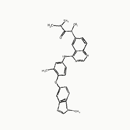 Cc1cc(Nc2ncnc3ccc(N(C)C(=O)N(C)C)cc23)ccc1Oc1ccc2c(c1)ncn2C